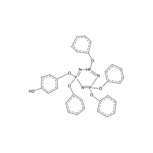 Oc1ccc(OP2(Oc3ccccc3)=N[PH](Oc3ccccc3)=NP(Oc3ccccc3)(Oc3ccccc3)=N2)cc1